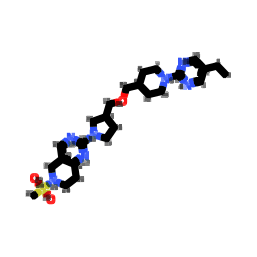 CCc1cnc(N2CCC(COCC3CCN(c4ncc5c(n4)CCN(S(C)(=O)=O)C5)C3)CC2)nc1